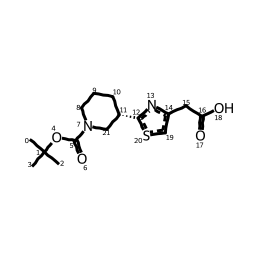 CC(C)(C)OC(=O)N1CCC[C@H](c2nc(CC(=O)O)cs2)C1